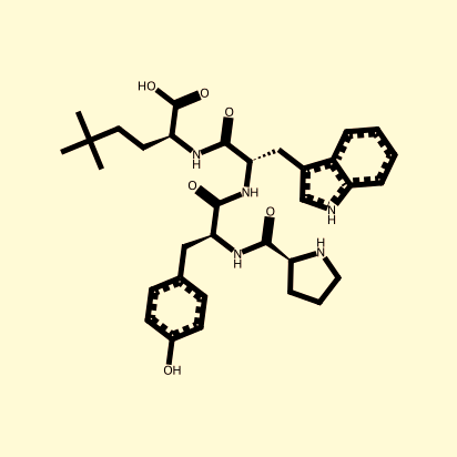 CC(C)(C)CC[C@H](NC(=O)[C@H](Cc1c[nH]c2ccccc12)NC(=O)[C@H](Cc1ccc(O)cc1)NC(=O)[C@@H]1CCCN1)C(=O)O